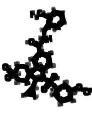 O=C(NCc1ncccc1C(F)(F)F)c1ccc2c(c1)C1(CCS(=O)(=O)CC1)C(C1CC1)N2S(=O)(=O)c1cccc(OC(F)(F)F)c1